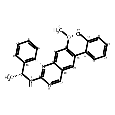 COc1cc2nc(N[C@H](C)c3ccccc3)ncc2cc1-c1ccccc1Cl